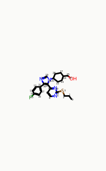 CCCSc1nccc(-c2c(-c3ccc(F)cc3)ncn2C2CCC(CO)CC2)n1